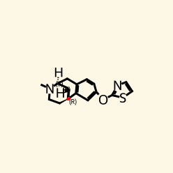 CN1CC[C@]23CCCC[C@H]2[C@@H]1Cc1ccc(Oc2nccs2)cc13